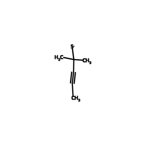 CC#CC(C)(C)[S]